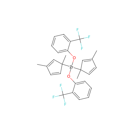 CC1=C[C](C)([Zr]([O]c2ccccc2C(F)(F)F)([O]c2ccccc2C(F)(F)F)[C]2(C)C=CC(C)=C2)C=C1